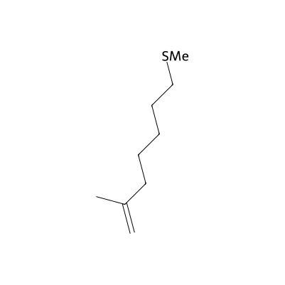 [CH2]SCCCCCC(=C)C